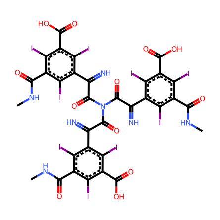 CNC(=O)c1c(I)c(C(=N)C(=O)N(C(=O)C(=N)c2c(I)c(C(=O)O)c(I)c(C(=O)NC)c2I)C(=O)C(=N)c2c(I)c(C(=O)O)c(I)c(C(=O)NC)c2I)c(I)c(C(=O)O)c1I